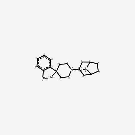 CCOC(=O)N1C2CCC1CC(N1CCC(C#N)(c3ccccc3OC)CC1)C2